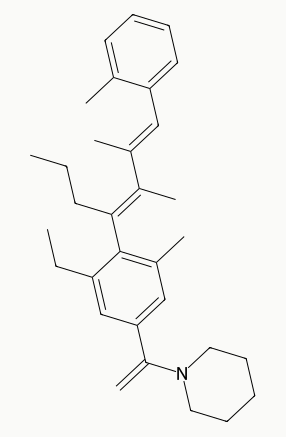 C=C(c1cc(C)c(/C(CCC)=C(C)/C(C)=C/c2ccccc2C)c(CC)c1)N1CCCCC1